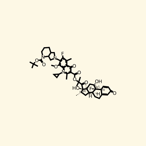 COc1c(N2CC3CCCN(C(=O)OC(C)(C)C)C3C2)c(F)c(C)c2c(=O)c(C(=O)OC(C)(C)C(=O)[C@@]3(O)[C@@H](C)C[C@H]4[C@@H]5CCC6=CC(=O)C=C[C@]6(C)[C@@]5(F)[C@@H](O)C[C@@]43C)c(C)n(C3CC3)c12